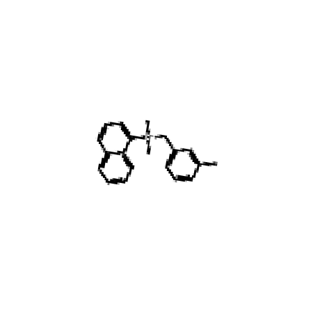 Cc1cccc(C[N+](C)(C)c2cccc3ccccc23)c1